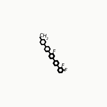 C=CC1CCC(C2CC=C(c3ccc(-c4ccc(-c5cccc(F)c5F)cc4)cc3F)CC2)CC1